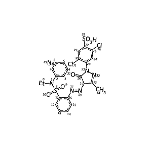 CCN(c1ccccc1)S(=O)(=O)c1ccccc1N=NC1C(=O)N(c2cc(Cl)c(S(=O)(=O)O)cc2Cl)N=C1C.[Na]